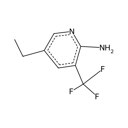 CCc1cnc(N)c(C(F)(F)F)c1